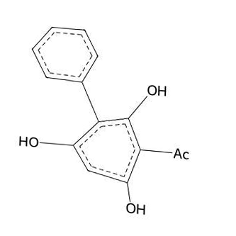 CC(=O)c1c(O)cc(O)c(-c2ccccc2)c1O